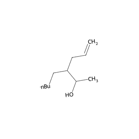 C=CCC(C[CH]CCC)C(C)O